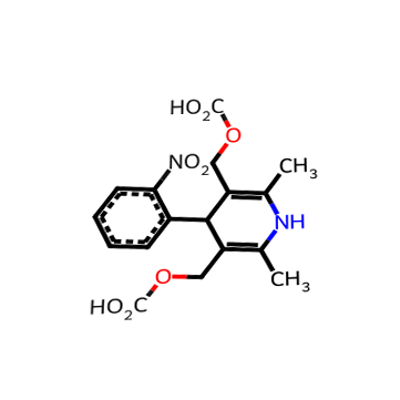 CC1=C(COC(=O)O)C(c2ccccc2[N+](=O)[O-])C(COC(=O)O)=C(C)N1